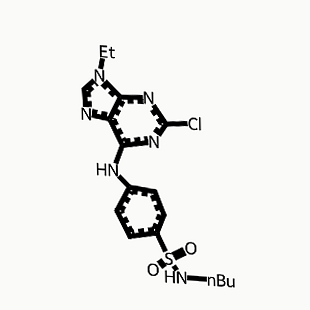 CCCCNS(=O)(=O)c1ccc(Nc2nc(Cl)nc3c2ncn3CC)cc1